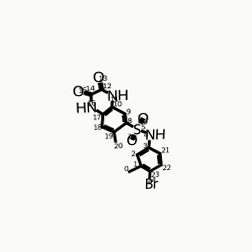 Cc1cc(NS(=O)(=O)c2cc3[nH]c(=O)c(=O)[nH]c3cc2C)ccc1Br